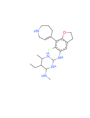 CCC1C(C)NC(Nc2cc3c(c(C4=CCNCCC4)c2F)OCC3)NC1NC